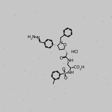 Cc1cccc(S(=O)(=O)N[C@@H](CNC(=O)C[C@@H]2C[C@H](c3ccc(C=NN)cc3)N(Cc3ccccc3)O2)C(=O)O)c1.Cl